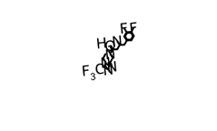 NC(CC(=O)N1CCn2c(nnc2C(F)(F)F)C1)Cc1ccc(F)c(F)c1